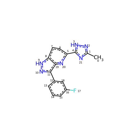 Cc1n[nH]c(-c2ccc3[nH]nc(-c4cccc(F)c4)c3n2)n1